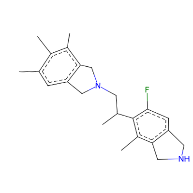 Cc1cc2c(c(C)c1C)CN(CC(C)c1c(F)cc3c(c1C)CNC3)C2